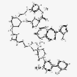 Cc1ncsc1-c1ccc([C@H](C)NC(=O)[C@@H]2C[C@@H](O)CN2C(=O)[C@H](c2cc(OCCN3CCC(OC4CC(OCCN5CCOC6(CCN(c7cc(-c8ccccc8O)nnc7N)CC6)C5)C4)CC3)no2)C(C)C)cc1